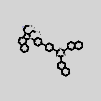 C=Cc1c(/C=C\C)c2ccc3ccccc3c2n1-c1ccc(-c2ccc(-c3nc(-c4ccc5ccccc5c4)nc(-c4ccc5ccccc5c4)n3)cc2)cc1